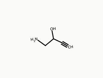 C#CC(O)CN